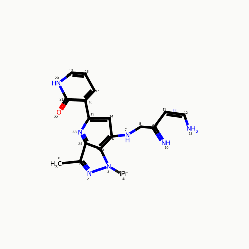 Cc1nn(C(C)C)c2c(NCC(=N)/C=C\N)cc(-c3ccc[nH]c3=O)nc12